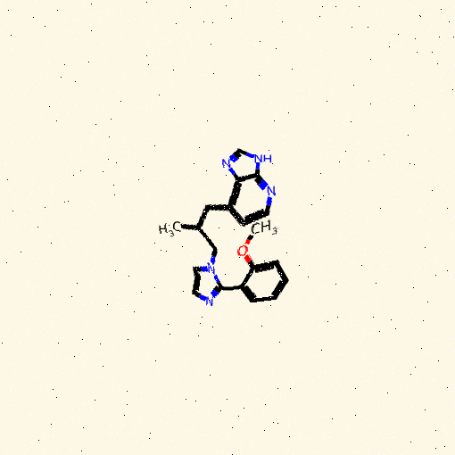 COc1ccccc1-c1nccn1CC(C)Cc1ccnc2[nH]cnc12